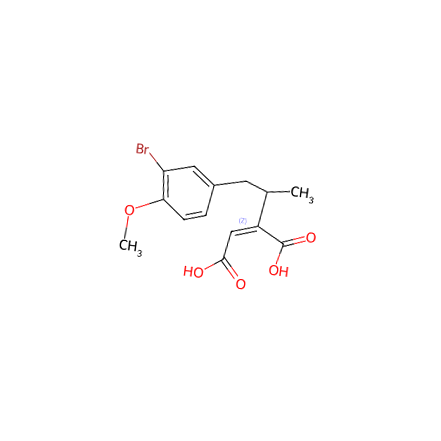 COc1ccc(CC(C)/C(=C/C(=O)O)C(=O)O)cc1Br